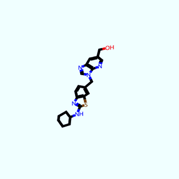 OCc1cnc2c(c1)ncn2Cc1ccc2nc(NC3CCCCC3)sc2c1